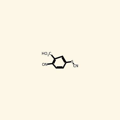 N#CSc1ccc(N=O)c(C(=O)O)c1